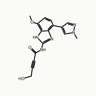 COc1ccc(-c2cnn(C)c2)c2nc(NC(=O)C#CCO)[nH]c12